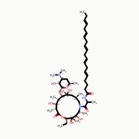 CCC=CCC=CCC=CCC=CCC=CCCCC(=O)NC(C)C(=O)N1C[C@H](C)C[C@@](C)(O)[C@H](O[C@@H]2O[C@H](C)C[C@H](N(C)C)[C@H]2O)[C@@H](C)[C@H](O)[C@@H](C)C(=O)O[C@H](CC)[C@@](C)(O)[C@H](O)[C@H]1C